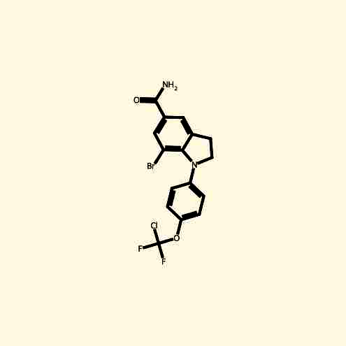 NC(=O)c1cc(Br)c2c(c1)CCN2c1ccc(OC(F)(F)Cl)cc1